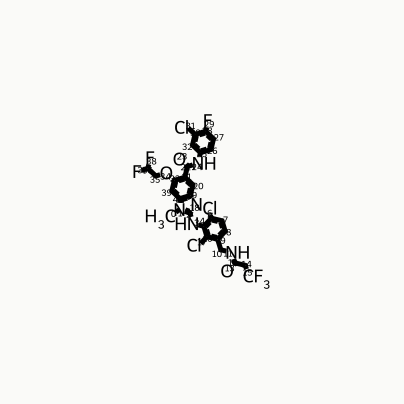 Cn1c(Nc2c(Cl)ccc(CNC(=O)CC(F)(F)F)c2Cl)nc2cc(C(=O)Nc3ccc(F)c(Cl)c3)c(OCC(F)F)cc21